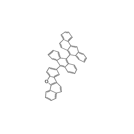 c1ccc2c(-c3c4ccccc4c(-c4ccc5oc6c7ccccc7ccc6c5c4)c4ccccc34)c3ccc4ccccc4c3cc2c1